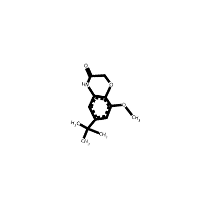 COc1cc(C(C)(C)C)cc2c1OCC(=O)N2